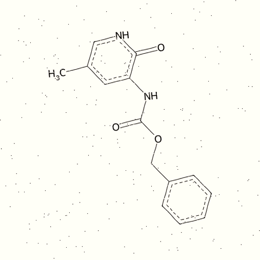 Cc1c[nH]c(=O)c(NC(=O)OCc2ccccc2)c1